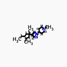 CCCCC(C)(CCC)c1cnn(C2CCN(C)CC2)c1